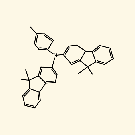 Cc1ccc(N(C2=CCC3C(=C2)C(C)(C)c2ccccc23)c2ccc3c(c2)C(C)(C)c2ccccc2-3)cc1